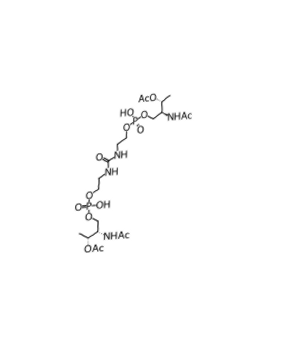 CC(=O)N[C@@H](COP(=O)(O)OCCNC(=O)NCCOP(=O)(O)OC[C@H](NC(C)=O)[C@@H](C)OC(C)=O)[C@@H](C)OC(C)=O